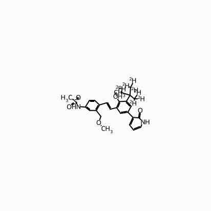 [2H]C([2H])([2H])C(c1cc(-c2ccc[nH]c2=O)cc(/C=C/c2ccc(NS(C)(=O)=O)cc2COC)c1OC)(C([2H])([2H])[2H])C([2H])([2H])[2H]